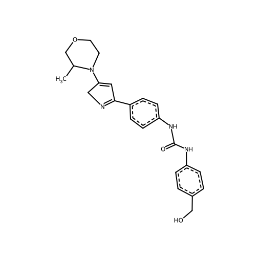 CC1COCCN1C1=CC(c2ccc(NC(=O)Nc3ccc(CO)cc3)cc2)=NC1